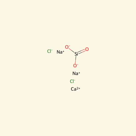 O=[Si]([O-])[O-].[Ca+2].[Cl-].[Cl-].[Na+].[Na+]